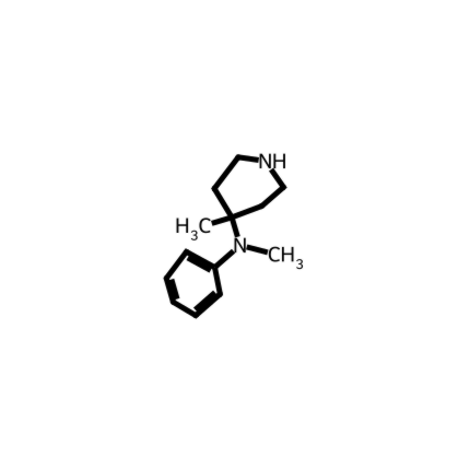 CN(c1ccccc1)C1(C)CCNCC1